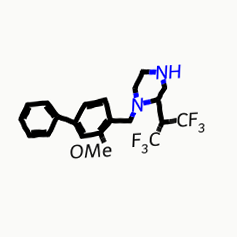 COc1cc(-c2ccccc2)ccc1CN1CCNCC1C(C(F)(F)F)C(F)(F)F